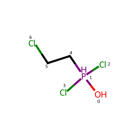 O[PH](Cl)(Cl)CCCl